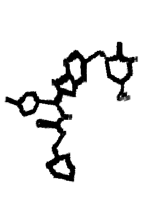 CC1CCC([C@H](NC(=O)OCc2ccccc2)c2cn3nc(C[C@H]4C[C@@H](C(F)(F)F)CNC4=O)cnc3n2)CC1